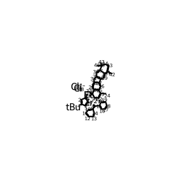 CCC1C=C(C(C)(C)C)C=[C]1[Zr+2](=[C](c1ccccc1)c1ccccc1)[CH]1C=C(C)c2cc3c(cc2C1(C)C)Cc1cc2c(cc1-3)C(C)=CCC2(C)C.[Cl-].[Cl-]